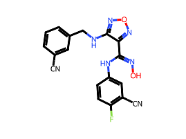 N#Cc1cccc(CNc2nonc2/C(=N/O)Nc2ccc(F)c(C#N)c2)c1